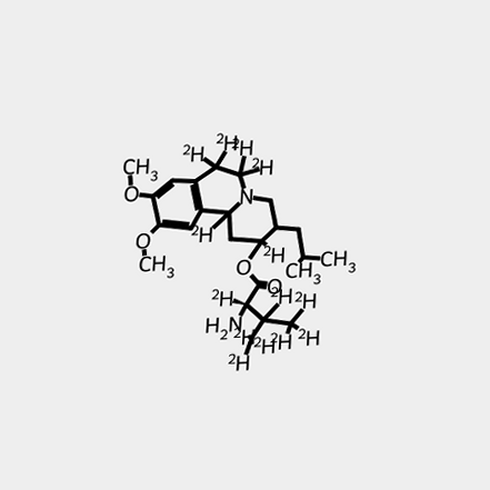 [2H]C1(OC(=O)[C@@]([2H])(N)C([2H])(C([2H])([2H])[2H])C([2H])([2H])[2H])CC2([2H])c3cc(OC)c(OC)cc3C([2H])([2H])C([2H])([2H])N2CC1CC(C)C